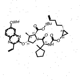 C=CCCC[C@@H]1C[C@H]1OC(=O)N[C@H](C(=O)N1C[C@H](Oc2nc3cc(OC)ccc3nc2C=C)[C@@H](C)[C@H]1C(=O)OC(C)(C)C)C1(C)CCCC1